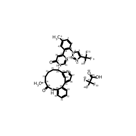 Cc1ccc(-n2cc(C(F)(F)F)nn2)c(-c2cc(=O)n([C@H]3CCC[C@@H](C)C(=O)Nc4ccccc4-c4ccnc3c4)cn2)c1.O=C(O)C(F)(F)F